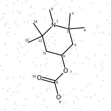 CN1C(C)(C)CC(OC([O])=O)CC1(C)C